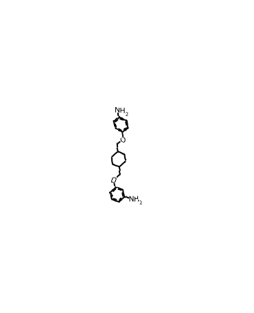 Nc1ccc(OCC2CCC(COc3cccc(N)c3)CC2)cc1